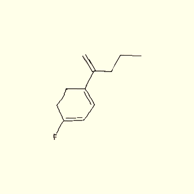 C=C(CCC)C1=CC=C(F)CC1